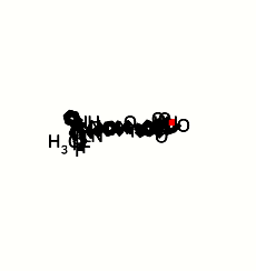 C[C@@H]1Cc2c([nH]c3ccccc23)[C@@H](c2cnc(N3CCC4(CC3)CN(C(=O)CN3Cc5cc6c(cc5C3)C(=O)N(C3CCC(=O)NC3=O)C6=O)C4)nc2)N1CC(F)(F)F